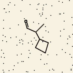 CC(C=O)C1CCC1